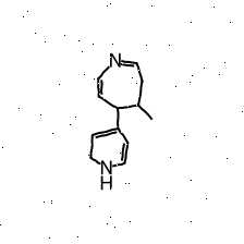 CC1CC=NC=CC1C1=CCNC=C1